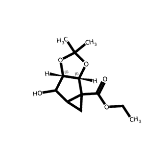 CCOC(=O)C12CC1C(O)[C@@H]1OC(C)(C)O[C@@H]12